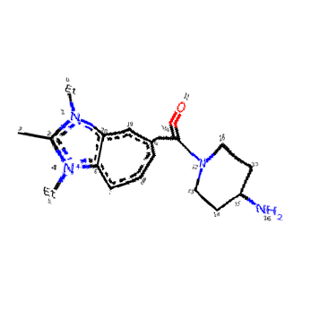 CCn1c(C)[n+](CC)c2ccc(C(=O)N3CCC(N)CC3)cc21